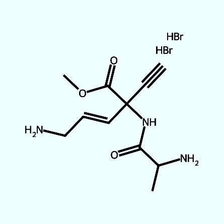 Br.Br.C#CC(C=CCN)(NC(=O)C(C)N)C(=O)OC